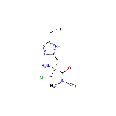 CC(C)Cc1cnc(CC(N)(CCl)C(=O)N(C)C)[nH]1